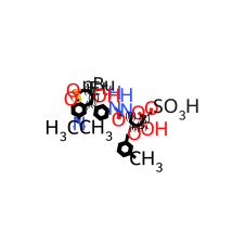 CCCC[C@]1(CC)CS(=O)(=O)c2ccc(N(C)C)cc2[C@@H](c2cccc(NC(=O)N[C@H]3C[C@@H](OCc4cccc(C)c4)[C@H](O)[C@@H](COS(=O)(=O)O)O3)c2)[C@H]1O